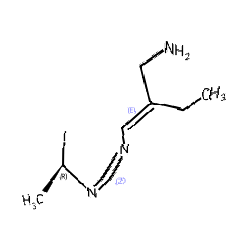 CC/C(=C\N=N/[C@@H](C)I)CN